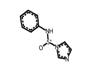 [O-][S+](Nc1ccccc1)n1ccnc1